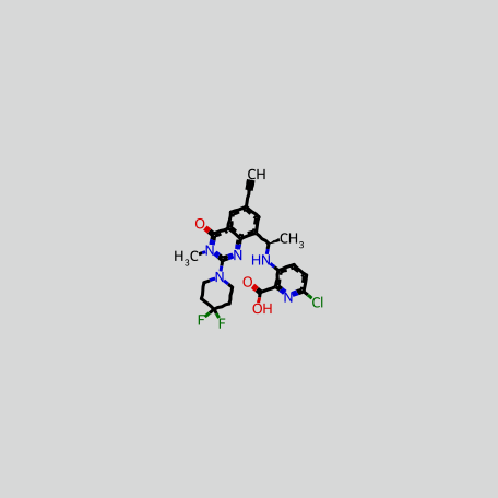 C#Cc1cc([C@@H](C)Nc2ccc(Cl)nc2C(=O)O)c2nc(N3CCC(F)(F)CC3)n(C)c(=O)c2c1